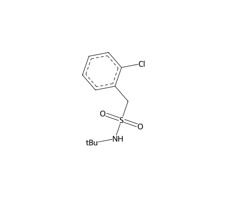 CC(C)(C)NS(=O)(=O)Cc1ccccc1Cl